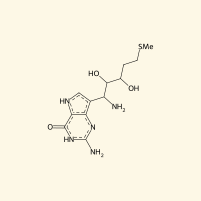 CSCCC(O)C(O)C(N)c1c[nH]c2c(=O)[nH]c(N)nc12